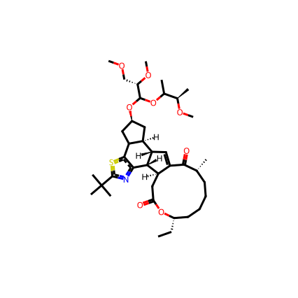 CC[C@H]1CCCC[C@@H](C)C(=O)C2=C[C@@H]3[C@@H](c4nc(C(C)(C)C)sc4C4C[C@@H](OC(OC(C)[C@@H](C)OC)[C@H](COC)OC)C[C@H]43)[C@@H]2CC(=O)O1